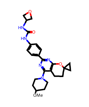 COC1CCN(c2nc(-c3ccc(NC(=O)NC4COC4)cc3)nc3c2CCC2(CC2)O3)CC1